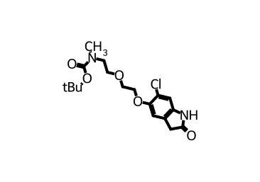 CN(CCOCCOc1cc2c(cc1Cl)NC(=O)C2)C(=O)OC(C)(C)C